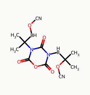 CC(C)(Bn1c(=O)oc(=O)n(C(C)(C)BOC#N)c1=O)OC#N